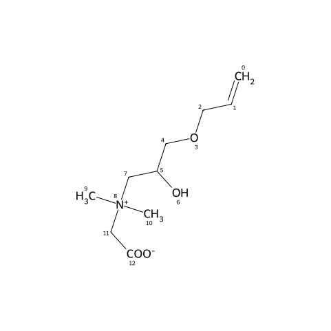 C=CCOCC(O)C[N+](C)(C)CC(=O)[O-]